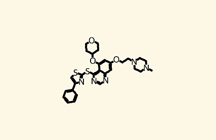 CN1CCN(CCOc2cc(OC3CCOCC3)c3c(Sc4nc(-c5ccccc5)cs4)ncnc3c2)CC1